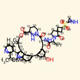 CCn1c(-c2cccnc2[C@H](C)OC)c2c3cc(ccc31)-c1cc(O)cc(c1)C[C@H](NC(=O)C(C(C)C)N1CCC3(CC(S(=O)(=O)[C@@H]4CN4)C3)C1=O)C(=O)N1CCC[C@H](N1)C(=O)OCC(C)(C)C2